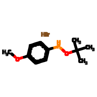 Br.COc1ccc(POC(C)(C)C)cc1